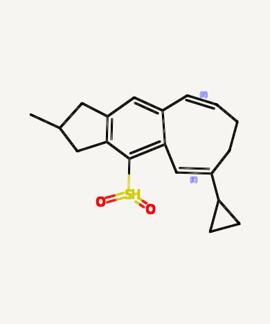 CC1Cc2cc3c(c([SH](=O)=O)c2C1)/C=C(/C1CC1)CC/C=C\3